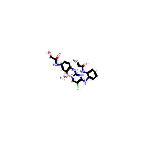 C=CC(=O)Nc1ccccc1Nc1nc(Nc2ccc(NC(=O)CO)cc2OC)ncc1Cl